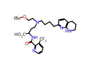 CC(C)(C)OCCN(CCCCc1ccc2c(n1)NCCC2)CCC(NC(=O)c1ncccc1C(F)(F)F)C(=O)O